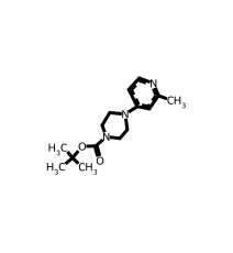 Cc1cc(N2CCN(C(=O)OC(C)(C)C)CC2)ccn1